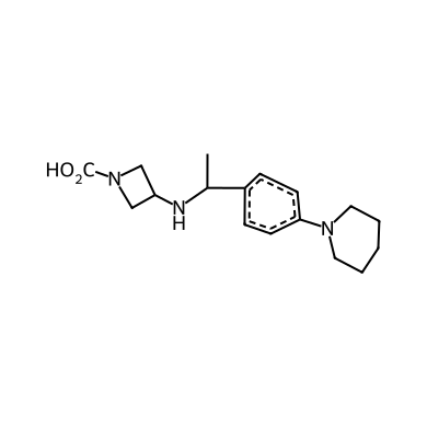 CC(NC1CN(C(=O)O)C1)c1ccc(N2CCCCC2)cc1